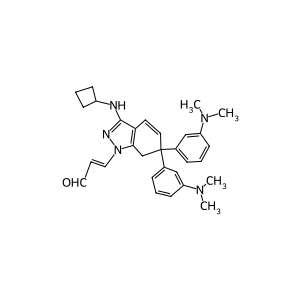 CN(C)c1cccc(C2(c3cccc(N(C)C)c3)C=Cc3c(NC4CCC4)nn(C=CC=O)c3C2)c1